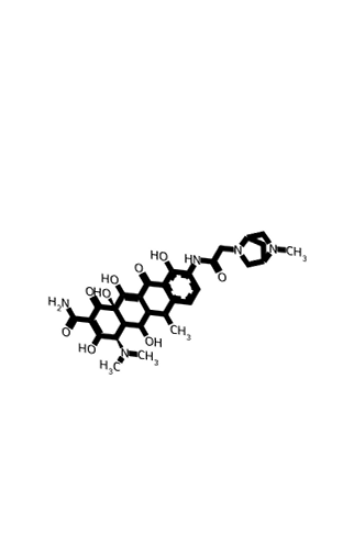 CC1c2ccc(NC(=O)CN3CC4CC3CN4C)c(O)c2C(=O)C2=C(O)[C@@]3(O)C(=O)C(C(N)=O)=C(O)[C@H](N(C)C)C3C(O)C21